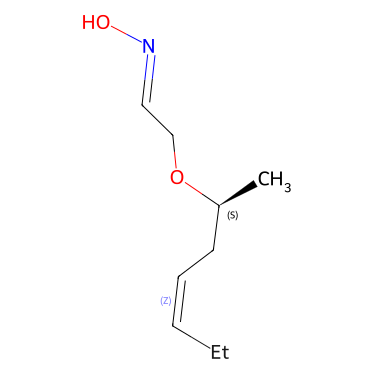 CC/C=C\C[C@H](C)OCC=NO